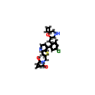 Cc1cc(Cl)cc(-c2ccnc3cc(CN4C(=O)C5CC5C4=O)sc23)c1CC1CNCC2(CCC2)O1